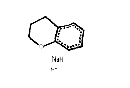 [H+].[NaH].c1ccc2c(c1)CCCO2